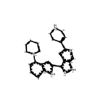 C1=C(c2cc3c(-c4cc5c(N6CCCCC6)cccc5[nH]4)n[nH]c3cn2)CCNC1